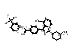 Nc1nccn2c([C@@H]3CCC[C@H](N)C3)nc(-c3ccc(C(=O)Nc4cc(C(F)(F)F)ccn4)cc3)c12